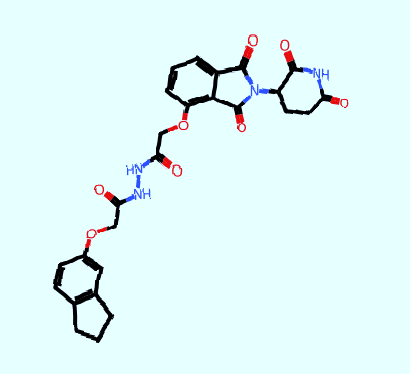 O=C(COc1ccc2c(c1)CCC2)NNC(=O)COc1cccc2c1C(=O)N(C1CCC(=O)NC1=O)C2=O